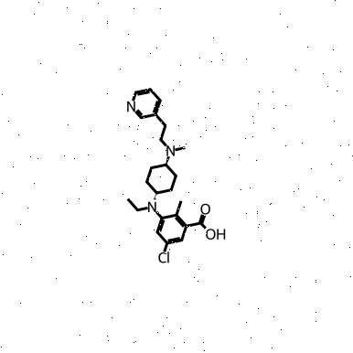 CCN(c1cc(Cl)cc(C(=O)O)c1C)[C@H]1CC[C@H](N(C)CCc2cccnc2)CC1